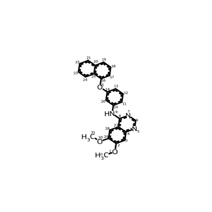 COc1cc2ncnc(Nc3cccc(Oc4cccc5ccccc45)c3)c2cc1OC